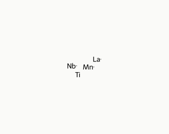 [La].[Mn].[Nb].[Ti]